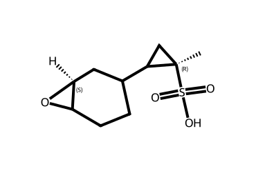 C[C@@]1(S(=O)(=O)O)CC1C1CCC2O[C@H]2C1